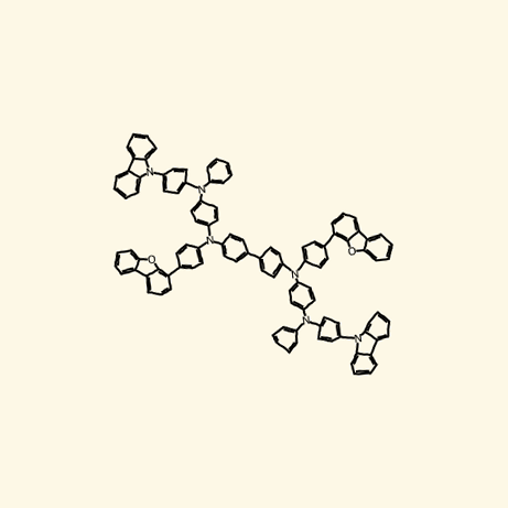 c1ccc(N(c2ccc(N(c3ccc(-c4ccc(N(c5ccc(-c6cccc7c6oc6ccccc67)cc5)c5ccc(N(c6ccccc6)c6ccc(-n7c8ccccc8c8ccccc87)cc6)cc5)cc4)cc3)c3ccc(-c4cccc5c4oc4ccccc45)cc3)cc2)c2ccc(-n3c4ccccc4c4ccccc43)cc2)cc1